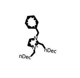 CCCCCCCCCCCc1n(Cc2ccccc2)cc[n+]1CCCCCCCCCCC